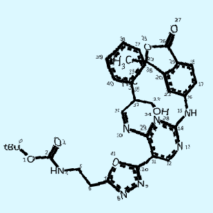 CC(C)(C)OC(=O)NCCc1nnc(-c2cnc(Nc3ccc4c(c3)C(C)(C)OC4=O)nc2/N=C\C(CO)c2ccccc2)o1